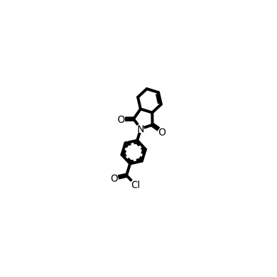 O=C(Cl)c1ccc(N2C(=O)C3C=CCCC3C2=O)cc1